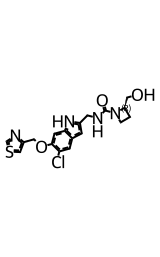 O=C(NCc1cc2cc(Cl)c(OCc3cscn3)cc2[nH]1)N1CC[C@@H]1CO